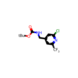 CC(C)(C)OC(=O)NCc1cc(Cl)nc(C(F)(F)F)c1